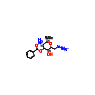 CS[C@@H]1OC(CN=[N+]=[N-])[C@@H](O)C(OC(=O)c2ccccc2)[C@@H]1N